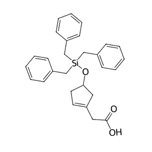 O=C(O)CC1=CCC(O[Si](Cc2ccccc2)(Cc2ccccc2)Cc2ccccc2)C1